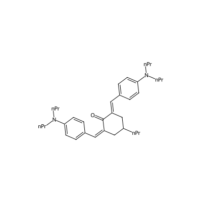 CCCC1C/C(=C/c2ccc(N(CCC)CCC)cc2)C(=O)/C(=C/c2ccc(N(CCC)CCC)cc2)C1